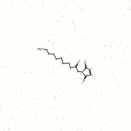 CCCCCCCCCC(=O)[CH]N1C(=O)C=CC1=O